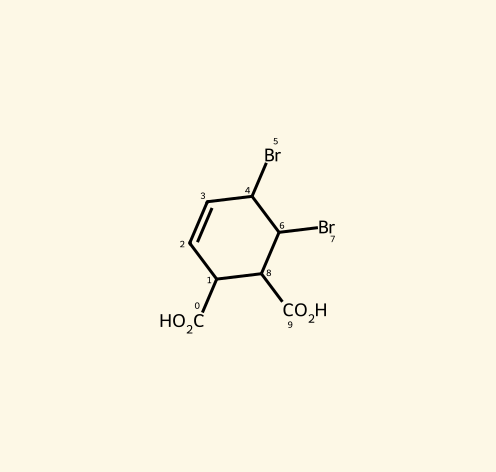 O=C(O)C1C=CC(Br)C(Br)C1C(=O)O